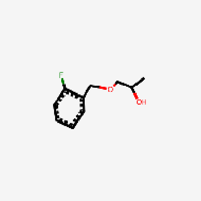 CC(O)COCc1ccccc1F